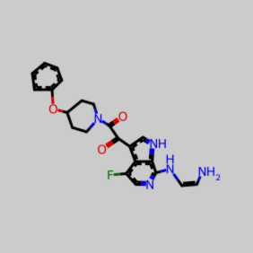 N/C=C\Nc1ncc(F)c2c(C(=O)C(=O)N3CCC(Oc4ccccc4)CC3)c[nH]c12